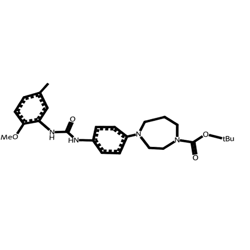 COc1ccc(C)cc1NC(=O)Nc1ccc(N2CCCN(C(=O)OC(C)(C)C)CC2)cc1